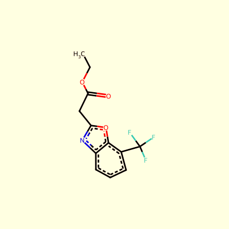 CCOC(=O)Cc1nc2cccc(C(F)(F)F)c2o1